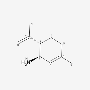 C=C(C)[C@@H]1CCC(C)=C[C@H]1N